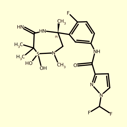 CN1C[C@@](C)(c2cc(NC(=O)c3ccn(C(F)F)n3)ccc2F)NC(=N)C(C)(C)S1(O)O